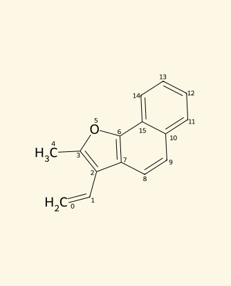 C=Cc1c(C)oc2c1ccc1ccccc12